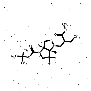 CCC(CN1OC[C@@H]2[C@H]1C(F)(F)CN2C(=O)OC(C)(C)C)C(=O)OC